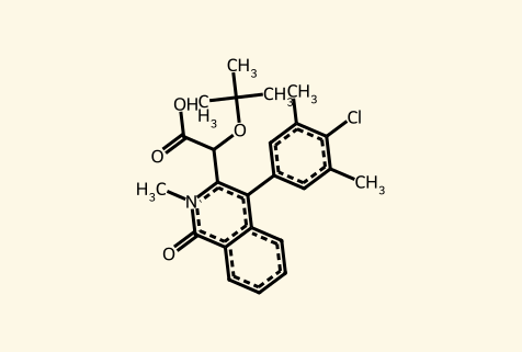 Cc1cc(-c2c(C(OC(C)(C)C)C(=O)O)n(C)c(=O)c3ccccc23)cc(C)c1Cl